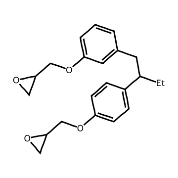 CCC(Cc1cccc(OCC2CO2)c1)c1ccc(OCC2CO2)cc1